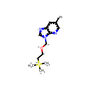 CC(C)c1cnc2c(c1)ncn2COCCS(C)(C)C